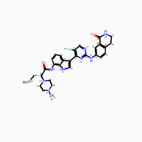 COC[C@H](C(=O)Nc1cccc2c(-c3nc(Nc4ccc5c(c4)C(=O)NCC5)ncc3F)c[nH]c12)N1CCN(C)CC1